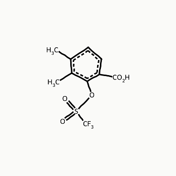 Cc1ccc(C(=O)O)c(OS(=O)(=O)C(F)(F)F)c1C